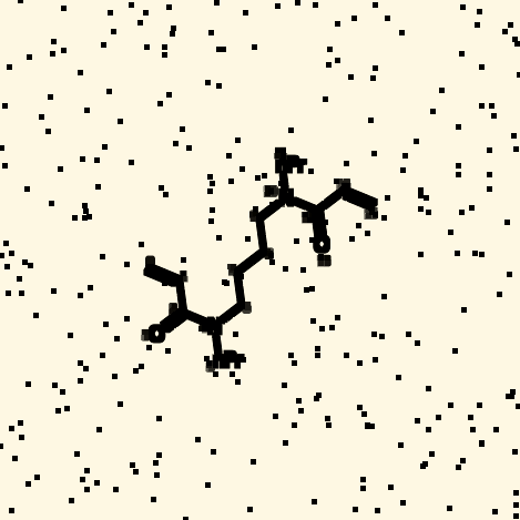 C=CC(=O)N(CCC)CCCCN(CCC)C(=O)C=C